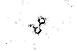 Sc1nccn1-c1cn[nH]c1